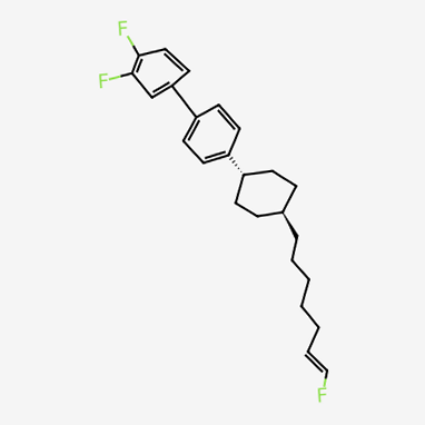 FC=CCCCCC[C@H]1CC[C@H](c2ccc(-c3ccc(F)c(F)c3)cc2)CC1